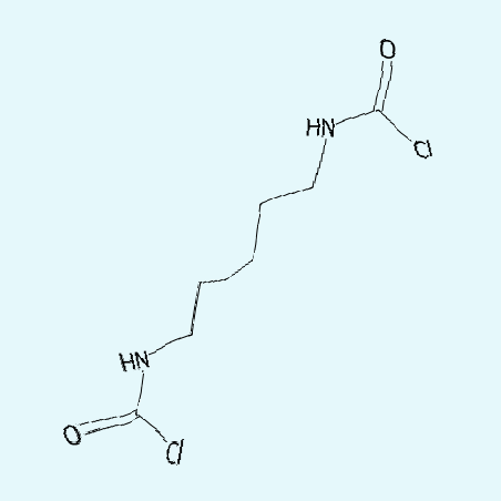 O=C(Cl)NCCCCCNC(=O)Cl